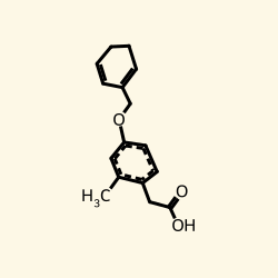 Cc1cc(OCC2=CCCC=C2)ccc1CC(=O)O